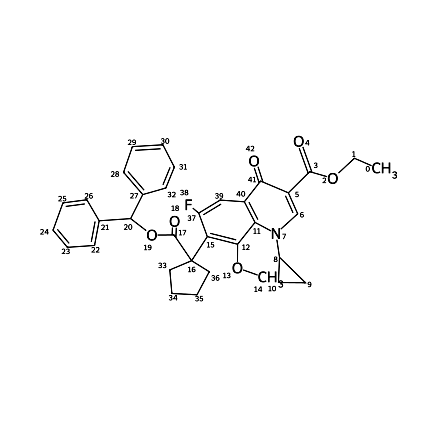 CCOC(=O)c1cn(C2CC2)c2c(OC)c(C3(C(=O)OC(c4ccccc4)c4ccccc4)CCCC3)c(F)cc2c1=O